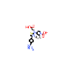 CC1CC(N(CCC(=O)O)c2nc(-c3ccc(C=NN)cc3)cs2)CCN1C(=O)O